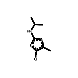 Cc1nc(NC(C)C)sc1Cl